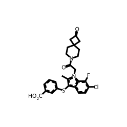 Cc1c(Sc2cccc(C(=O)O)c2)c2ccc(Cl)c(F)c2n1CC(=O)N1CCC2(CC1)CC(=O)C2